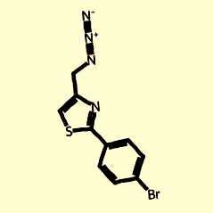 [N-]=[N+]=NCc1csc(-c2ccc(Br)cc2)n1